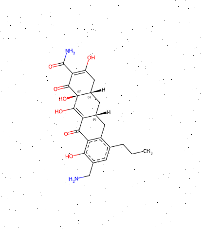 CCCc1cc(CN)c(O)c2c1C[C@H]1C[C@H]3CC(O)=C(C(N)=O)C(=O)[C@@]3(O)C(O)=C1C2=O